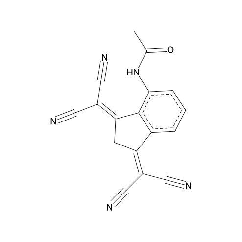 CC(=O)Nc1cccc2c1C(=C(C#N)C#N)CC2=C(C#N)C#N